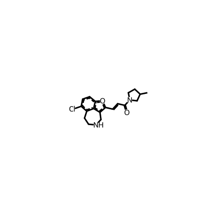 CC1CCN(C(=O)C=Cc2oc3ccc(Cl)c4c3c2CNCC4)C1